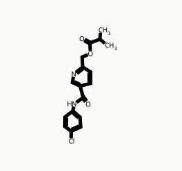 CC(C)C(=O)OCc1ccc(C(=O)Nc2ccc(Cl)cc2)cn1